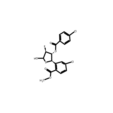 COC(=O)c1ccc(Cl)cc1[C@H]1SC(O)[C@@H](F)[C@@H]1OC(=O)c1ccc(Cl)cc1